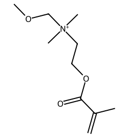 C=C(C)C(=O)OCC[N+](C)(C)COC